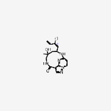 C=C/C(Cl)=C\C1CC(C)(O)CNC(=O)c2cnn3ccc(nc23)N1